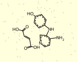 Nc1ccncc1Nc1ccc(O)cc1.O=C(O)C=CC(=O)O